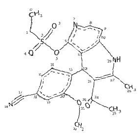 CCS(=O)(=O)Oc1nccc2c1C(c1ccc(C#N)cc1OC)C(C(C)=O)=C(C)N2